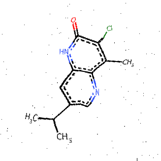 Cc1c(Cl)c(=O)[nH]c2cc(C(C)C)cnc12